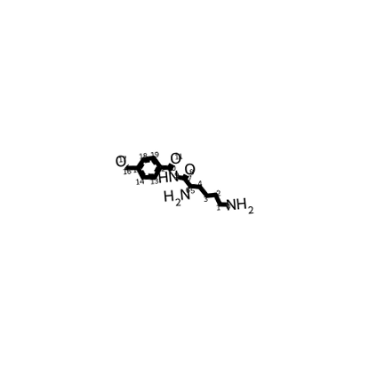 NCCCC[C@H](N)C(=O)NC(=O)c1ccc(C=O)cc1